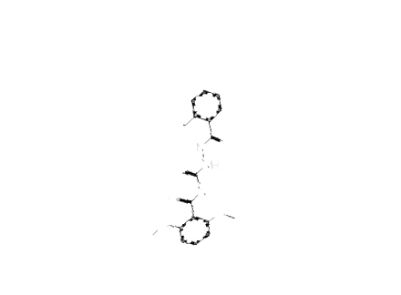 COc1cccc(OC)c1C(=O)NC(=S)NNC(=O)c1ccccc1Cl